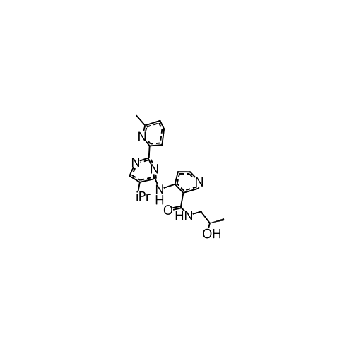 Cc1cccc(-c2ncc(C(C)C)c(Nc3ccncc3C(=O)NC[C@@H](C)O)n2)n1